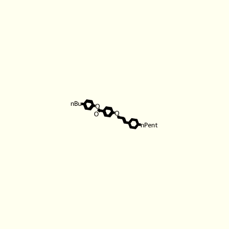 CCCCCC1CCC(/C=C/COc2ccc(C(=O)Oc3ccc(CCCC)cc3)cc2)CC1